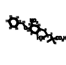 CC(C)(C[C@@H](N)Cc1ccc(OCc2ccccc2)c([N+](=O)[O-])c1)C(=O)O